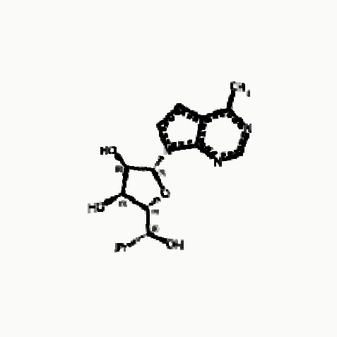 Cc1ncnc2c1ccn2[C@@H]1O[C@H]([C@H](O)C(C)C)[C@@H](O)[C@H]1O